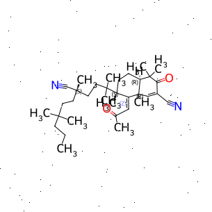 CCCC(C)(C)CC[C@](C)(C#N)CCC(C)(C)[C@]1(C)CC[C@H]2C(C)(C)C(=O)C(C#N)=C[C@]2(C)/C1=C/C(C)=O